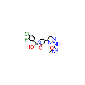 Cc1nnc(Nc2nccc(-c3ccn([C@H](CO)c4ccc(Cl)c(F)c4)c(=O)c3)n2)o1